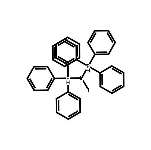 [I][Ir]([PH](c1ccccc1)(c1ccccc1)c1ccccc1)[PH](c1ccccc1)(c1ccccc1)c1ccccc1